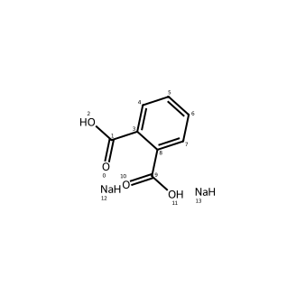 O=C(O)c1ccccc1C(=O)O.[NaH].[NaH]